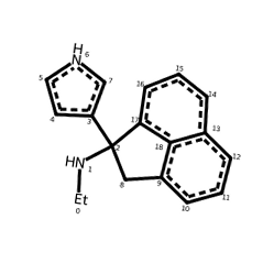 CCNC1(c2cc[nH]c2)Cc2cccc3cccc1c23